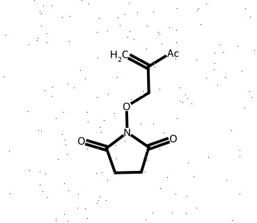 C=C(CON1C(=O)CCC1=O)C(C)=O